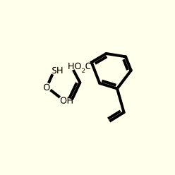 C=CC(=O)O.C=Cc1ccccc1.OOS